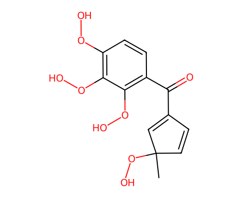 CC1(OO)C=CC(C(=O)c2ccc(OO)c(OO)c2OO)=C1